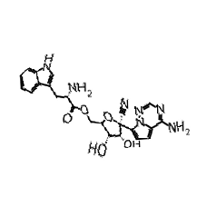 N#C[C@@]1(c2ccc3c(N)ncnn23)O[C@H](COC(=O)[C@@H](N)Cc2c[nH]c3ccccc23)[C@@H](O)[C@H]1O